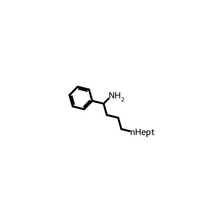 CCCCCCCCCCC(N)c1ccccc1